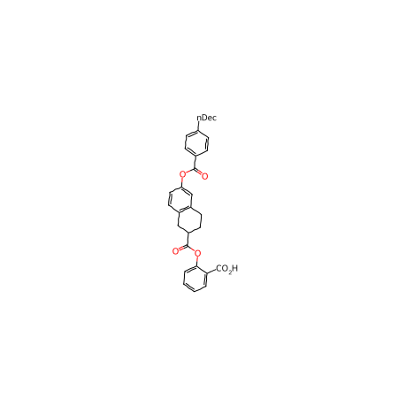 CCCCCCCCCCc1ccc(C(=O)Oc2ccc3c(c2)CCC(C(=O)Oc2ccccc2C(=O)O)C3)cc1